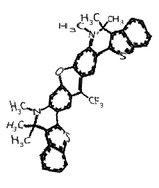 CN1c2cc3c(cc2-c2sc4ccccc4c2C1(C)C)C(C(F)(F)F)=c1cc2c(cc1O3)=[N+](C)C(C)(C)c1c-2sc2ccccc12